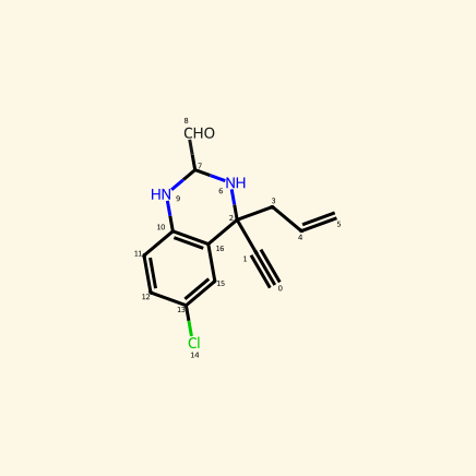 C#CC1(CC=C)NC(C=O)Nc2ccc(Cl)cc21